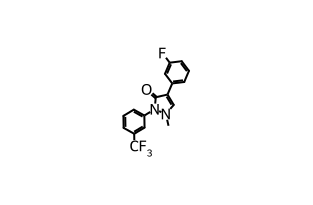 Cn1cc(-c2cccc(F)c2)c(=O)n1-c1cccc(C(F)(F)F)c1